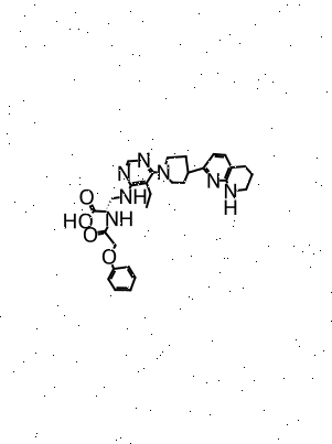 CCc1c(NC[C@H](NC(=O)COc2ccccc2)C(=O)O)ncnc1N1CCC(c2ccc3c(n2)NCCC3)CC1